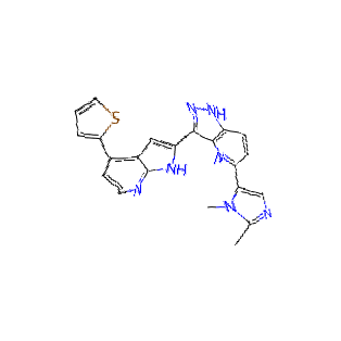 Cc1ncc(-c2ccc3[nH]nc(-c4cc5c(-c6cccs6)ccnc5[nH]4)c3n2)n1C